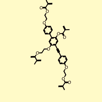 C=C(C)C(=C)OCCOc1cc(-c2ccc(OCCOC(=O)C(=C)C)cc2)c(OC(=O)C(=C)C)cc1C#Cc1ccc(OCCOC(=O)C(=C)C)cc1